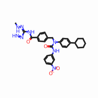 CN/N=C(\N=N)NC(=O)c1ccc(CN(C(=O)Nc2cccc([N+](=O)[O-])c2)c2ccc(C3CCCCC3)cc2)cc1